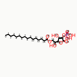 CCCCCCCCCCCCCCCC(=O)OC[C@H](O)[C@H]1OC(=O)C(OP(=O)(O)O)=C1O